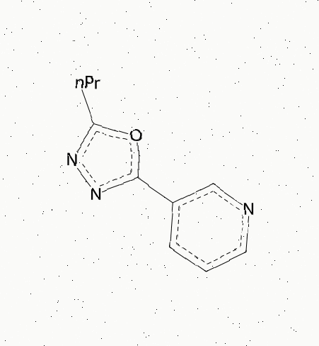 CCCc1nnc(-c2cccnc2)o1